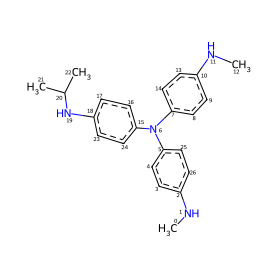 CNc1ccc(N(c2ccc(NC)cc2)c2ccc(NC(C)C)cc2)cc1